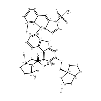 CC(C)(C)OC(=O)N1[C@@H]2CC[C@H]1CN(c1nc(OC[C@@]34CCCN3C[C@H](F)C4)nc3sc4c(-c5c6cnn(S(=O)(=O)C(F)(F)F)c6cc6cccc(Cl)c56)nccc4c13)C2